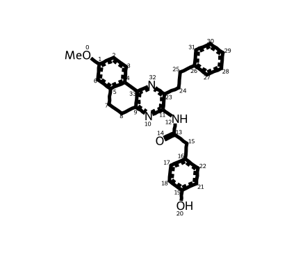 COc1ccc2c(c1)CCc1nc(NC(=O)Cc3ccc(O)cc3)c(CCc3ccccc3)nc1-2